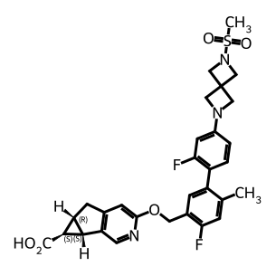 Cc1cc(F)c(COc2cc3c(cn2)[C@H]2[C@@H](C3)[C@@H]2C(=O)O)cc1-c1ccc(N2CC3(C2)CN(S(C)(=O)=O)C3)cc1F